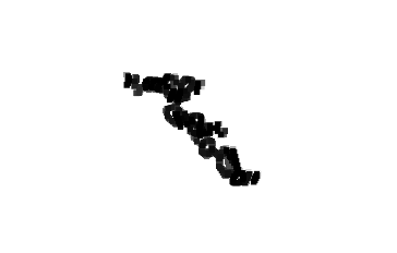 COCCCn1c(C2CCCN(C(=O)C[C@H](N)Cc3ccc(-c4ccc(O)nc4)cc3)C2)cc2c(F)ccc(Cl)c21